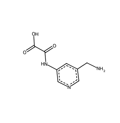 NCc1cncc(NC(=O)C(=O)O)c1